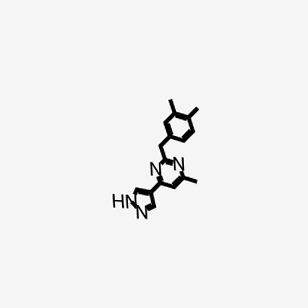 Cc1cc(-c2cn[nH]c2)nc(Cc2ccc(C)c(C)c2)n1